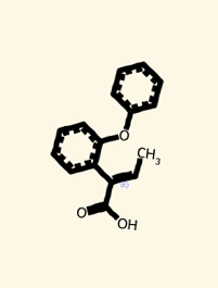 C/C=C(/C(=O)O)c1ccccc1Oc1ccccc1